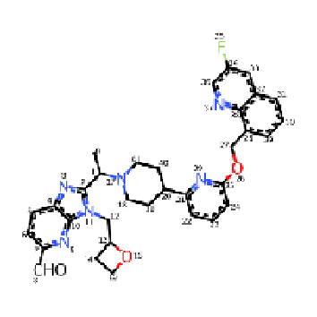 CC(c1nc2ccc(C=O)nc2n1CC1CCO1)N1CCC(c2cccc(OCc3cccc4cc(F)cnc34)n2)CC1